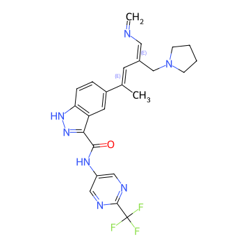 C=N/C=C(\C=C(/C)c1ccc2[nH]nc(C(=O)Nc3cnc(C(F)(F)F)nc3)c2c1)CN1CCCC1